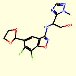 Cn1ncnc1C(CO)Nc1noc2c(F)c(F)c(C3OCCO3)cc12